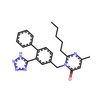 CCCCCc1nc(C)cc(=O)n1Cc1ccc(-c2ccccc2)c(-c2nnn[nH]2)c1